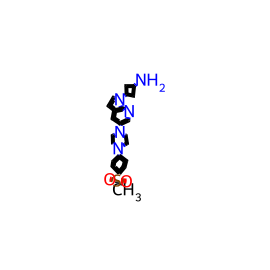 CS(=O)(=O)c1ccc(N2CCN(c3cnc4c(ccn4C4CC(N)C4)c3)CC2)cc1